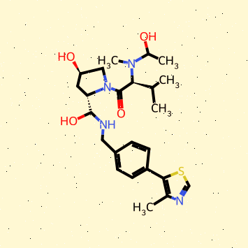 Cc1ncsc1-c1ccc(CNC(O)[C@@H]2C[C@@H](O)CN2C(=O)[C@H](C(C)C)N(C)C(C)O)cc1